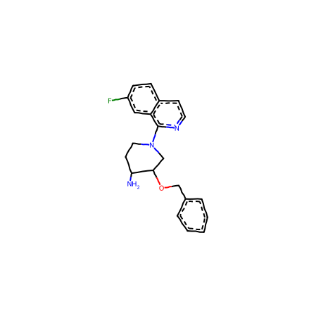 NC1CCN(c2nccc3ccc(F)cc23)CC1OCc1ccccc1